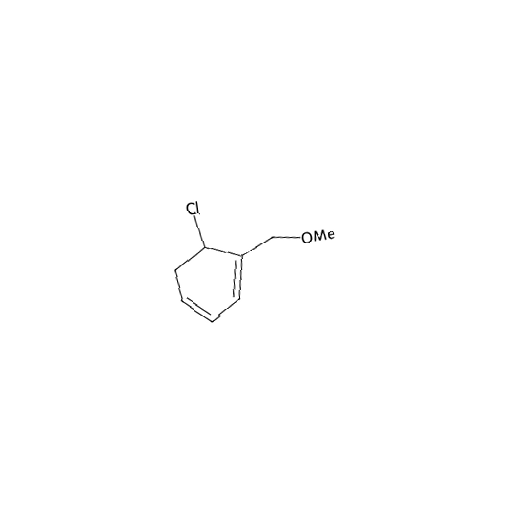 COCC1=CC=CCC1Cl